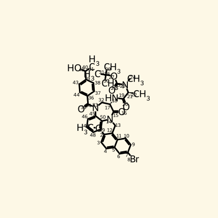 COc1ccc2cc(Br)ccc2c1CN1C(=O)[C@@H](NC(=O)[C@H](C)N(C)C(=O)OC(C)(C)C)CN(C(=O)c2ccc(C(C)O)cc2)c2ccccc21